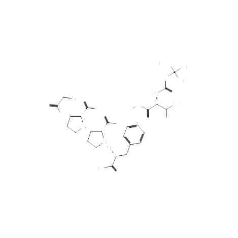 COC(=O)[C@@H](NC(=O)OC(C)(C)C)C(C)C.C[C@H](N)C(=O)O.N[C@@H](Cc1ccccc1)C(=O)O.O=C(O)[C@@H]1CCCN1.O=C(O)[C@@H]1CCCN1